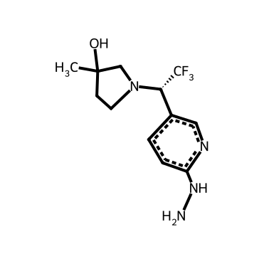 CC1(O)CCN([C@@H](c2ccc(NN)nc2)C(F)(F)F)C1